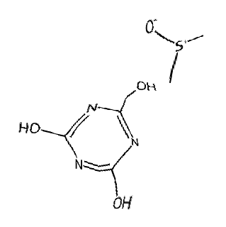 C[S+](C)[O-].Oc1nc(O)nc(O)n1